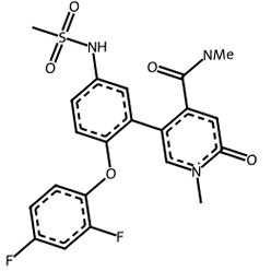 CNC(=O)c1cc(=O)n(C)cc1-c1cc(NS(C)(=O)=O)ccc1Oc1ccc(F)cc1F